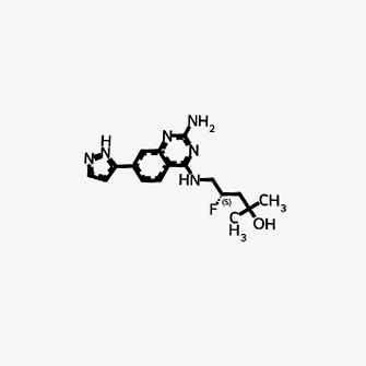 CC(C)(O)C[C@H](F)CNc1nc(N)nc2cc(-c3ccn[nH]3)ccc12